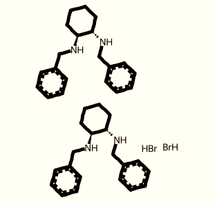 Br.Br.c1ccc(CN[C@H]2CCCC[C@@H]2NCc2ccccc2)cc1.c1ccc(CN[C@H]2CCCC[C@@H]2NCc2ccccc2)cc1